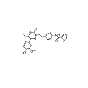 CCC1SC(=O)N(CCc2ccc(NC(=O)c3cccs3)cc2)N=C1c1ccc(OC)c(OC)c1